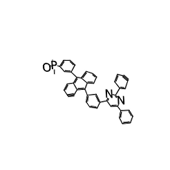 CP(C)(=O)c1cccc(-c2c3ccc#cc3c(-c3cccc(-c4cc(-c5ccccc5)nc(-c5cc#ccc5)n4)c3)c3ccccc23)c1